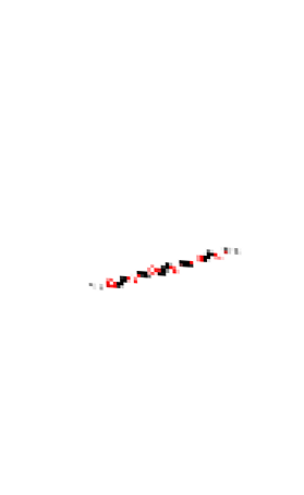 CCCCOCCOCCOCCOCCOCCOCCCC